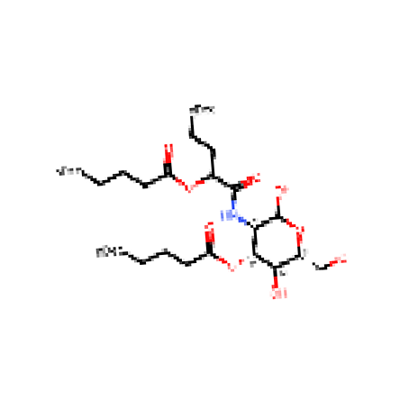 CCCCCCCCCCCCCC(=O)OC(CCCCCCCCCCCC)C(=O)N[C@H]1C(O)O[C@H](CO)[C@@H](O)[C@@H]1OC(=O)CCCCCCCCCCCCC